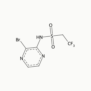 O=S(=O)(CC(F)(F)F)Nc1nccnc1Br